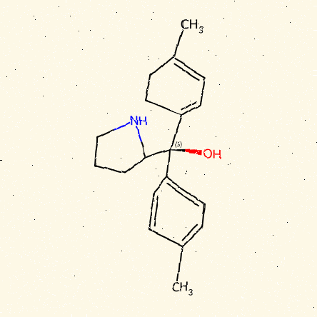 CC1=CC=C([C@](O)(c2ccc(C)cc2)C2CCCN2)CC1